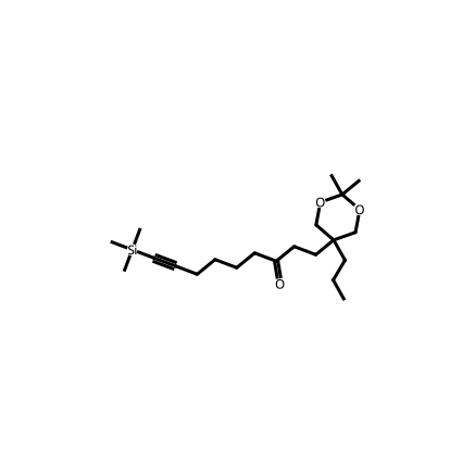 CCCC1(CCC(=O)CCCCC#C[Si](C)(C)C)COC(C)(C)OC1